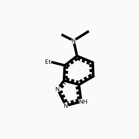 CCc1c(N(C)C)ccc2[nH]nnc12